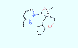 CC1=CC=CN(c2oc(C)c(CO)c2C2CCCCC2)N1